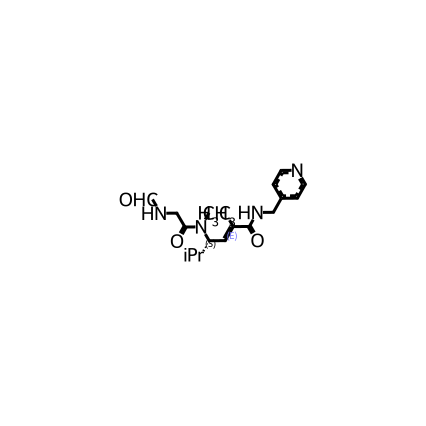 C/C(=C\[C@H](C(C)C)N(C)C(=O)CNC=O)C(=O)NCc1ccncc1